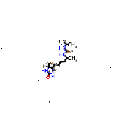 CC(C)NC(=S)NC(C)CCC[C@@H]1SC[C@@H]2NC(=O)N[C@@H]21